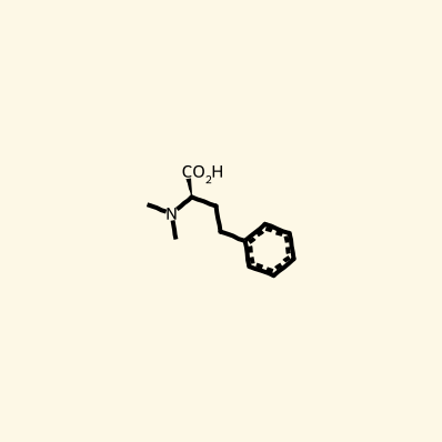 CN(C)[C@H](CCc1ccccc1)C(=O)O